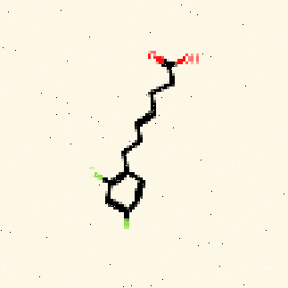 O=C(O)CCC=CCCc1ccc(F)cc1F